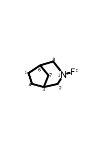 FN1CC2CCC(C2)C1